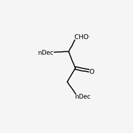 CCCCCCCCCCCC(=O)C([C]=O)CCCCCCCCCC